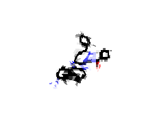 Nc1ccc2c(c1)CCc1nc(NC(=O)c3ccccc3)c(CCC3CCCCC3)nc1-2